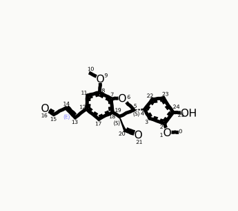 COc1cc([C@H]2Oc3c(OC)cc(/C=C/C=O)cc3[C@@H]2C=O)ccc1O